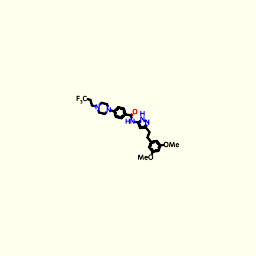 COc1cc(CCc2cc(NC(=O)c3ccc(N4CCN(CCC(F)(F)F)CC4)cc3)[nH]n2)cc(OC)c1